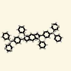 c1ccc(N(c2ccc(-c3cc4cc5c(cc(-c6ccc(N(c7ccccc7)c7cncnc7)cc6)n5-c5ccccc5)cc4n3-c3ccccc3)cc2)c2cncnc2)cc1